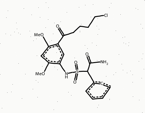 COc1cc(OC)c(C(=O)CCCCCl)cc1NS(=O)(=O)C(C(N)=O)c1ccccc1